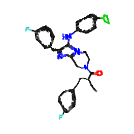 CC(Cc1ccc(F)cc1)C(=O)N1CCn2c(nc(-c3ccc(F)cc3)c2Nc2ccc(Cl)cc2)C1